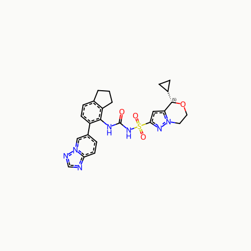 O=C(Nc1c(-c2ccc3ncnn3c2)ccc2c1CCC2)NS(=O)(=O)c1cc2n(n1)CCO[C@H]2C1CC1